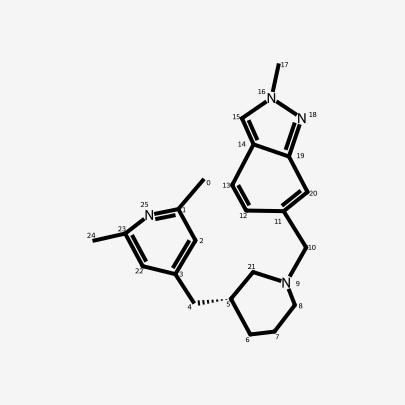 Cc1cc(C[C@H]2CCCN(Cc3ccc4cn(C)nc4c3)C2)cc(C)n1